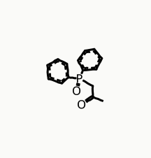 CC(=O)CP(=O)(c1ccccc1)c1ccccc1